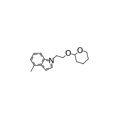 Cc1cccc2c1ccn2CCOC1CCCCO1